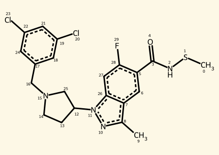 CSNC(=O)c1cc2c(C)nn(C3CCN(Cc4cc(Cl)cc(Cl)c4)C3)c2cc1F